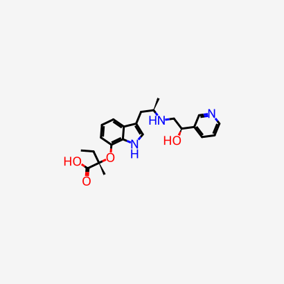 CC[C@](C)(Oc1cccc2c(C[C@@H](C)NC[C@H](O)c3cccnc3)c[nH]c12)C(=O)O